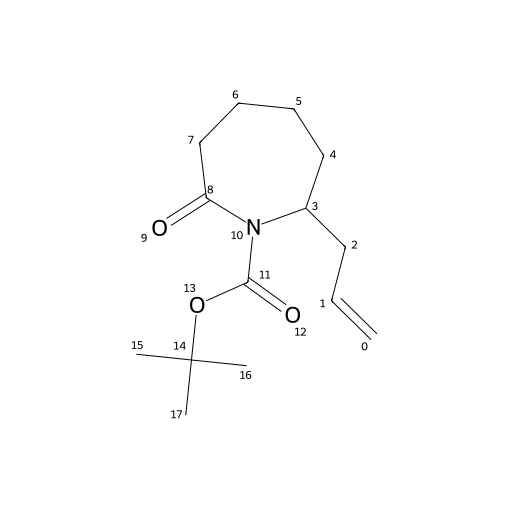 C=CCC1CCCCC(=O)N1C(=O)OC(C)(C)C